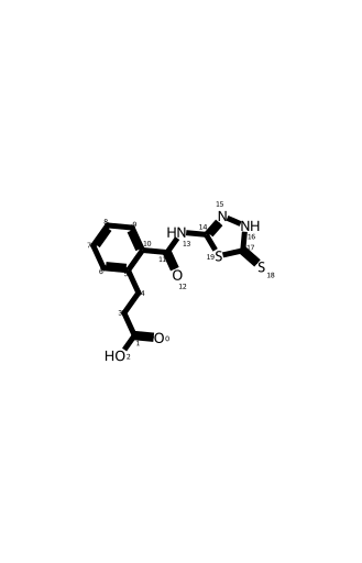 O=C(O)CCc1ccccc1C(=O)Nc1n[nH]c(=S)s1